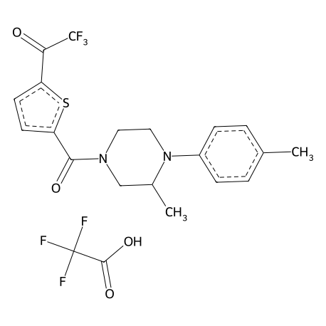 Cc1ccc(N2CCN(C(=O)c3ccc(C(=O)C(F)(F)F)s3)CC2C)cc1.O=C(O)C(F)(F)F